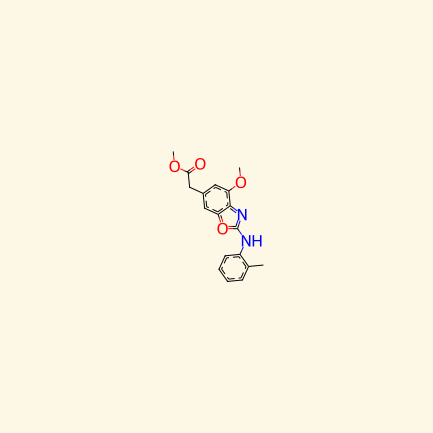 COC(=O)Cc1cc(OC)c2nc(Nc3ccccc3C)oc2c1